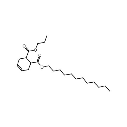 CCCCCCCCCCCCOC(=O)C1CC=CCC1C(=O)OCCC